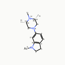 CC(=O)N1CCc2ccc(N3C[C@@H](C)N(C)[C@@H](C)C3)cc21